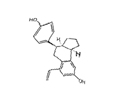 C=Cc1cc(O)cc2c1C[C@@H](c1ccc(O)cc1)[C@H]1CCC[C@@H]21